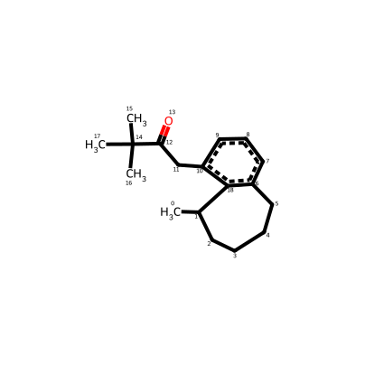 CC1CCCCc2cccc(CC(=O)C(C)(C)C)c21